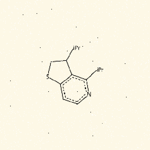 CC(C)c1nccc2c1C(C(C)C)CS2